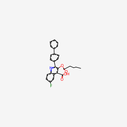 CCCCC(=O)Oc1c(-c2ccc(-c3ccccc3)cc2)nc2ccc(F)cc2c1C(=O)O